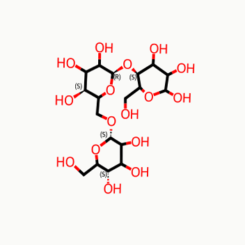 OCC1O[C@H](OCC2O[C@H](O[C@@H]3C(CO)OC(O)C(O)C3O)C(O)C(O)[C@@H]2O)C(O)C(O)[C@@H]1O